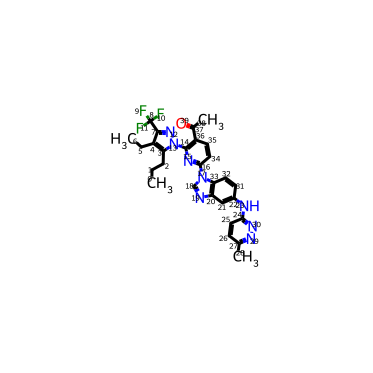 CCCc1c(CC)c(C(F)(F)F)nn1-c1nc(-n2cnc3cc(Nc4ccc(C)nn4)ccc32)ccc1C(C)=O